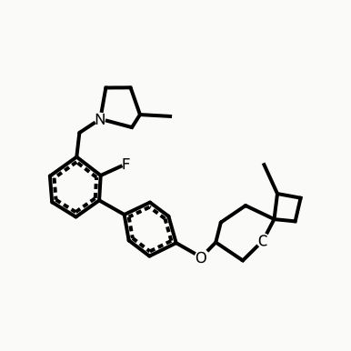 CC1CCN(Cc2cccc(-c3ccc(OC4CCC5(CC4)CCC5C)cc3)c2F)C1